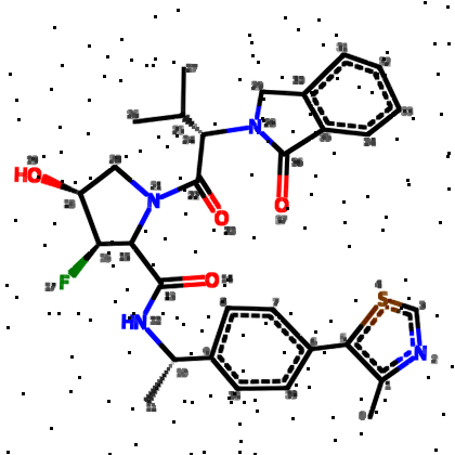 Cc1ncsc1-c1ccc([C@H](C)NC(=O)C2[C@@H](F)[C@@H](O)CN2C(=O)[C@H](C(C)C)N2Cc3ccccc3C2=O)cc1